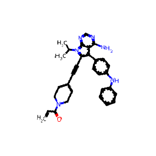 C=CC(=O)N1CCC(C#Cc2c(-c3ccc(Nc4ccccc4)cc3)c3c(N)ncnc3n2C(C)C)CC1